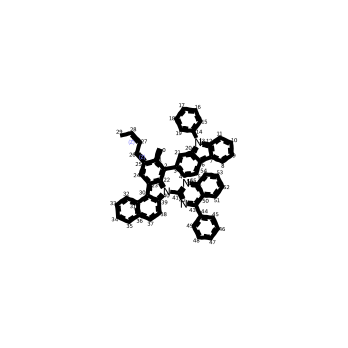 C=c1c(-c2ccc3c4ccccc4n(-c4ccccc4)c3c2)c2c(c/c1=C/C=C\C)c1c3ccccc3ccc1n2-c1nc(-c2ccccc2)c2ccccc2n1